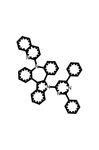 c1ccc(-c2cc(-n3c4c(c5ccccc53)-c3ccccc3N(c3ccc5ccccc5n3)c3ccccc3-4)nc(-c3ccccc3)n2)cc1